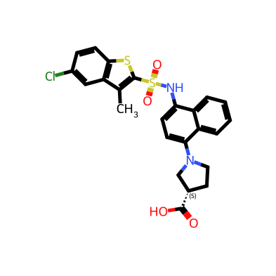 Cc1c(S(=O)(=O)Nc2ccc(N3CC[C@H](C(=O)O)C3)c3ccccc23)sc2ccc(Cl)cc12